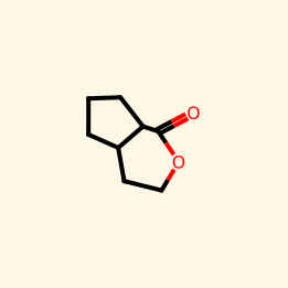 O=C1OCCC2CCCC12